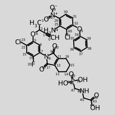 C#CC(C)Oc1cc(N2C(=O)C3=C(CCCC3)C2=O)c(F)cc1Cl.Nc1c([N+](=O)[O-])ccc(Oc2ccccc2)c1Cl.O=C(O)CNCP(=O)(O)O